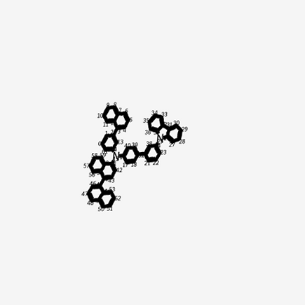 c1cc(-c2cccc3ccccc23)cc(N(c2ccc(-c3cccc(-n4c5ccccc5c5ccccc54)c3)cc2)c2ccc(-c3cccc4ccccc34)c3ccccc23)c1